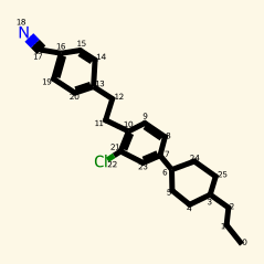 CCCC1CCC(c2ccc(CCc3ccc(C#N)cc3)c(Cl)c2)CC1